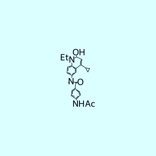 CCN1c2ccc(N(C)C(=O)c3ccc(NC(C)=O)cc3)cc2C(C2CC2)=CC1O